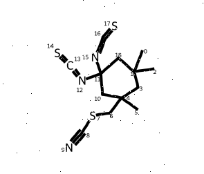 CC1(C)CC(C)(CSC#N)CC(N=C=S)(N=C=S)C1